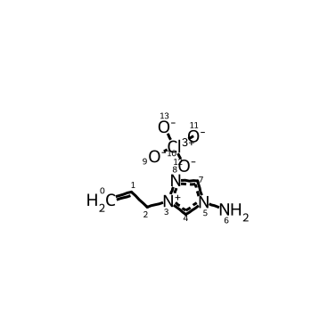 C=CC[n+]1cn(N)cn1.[O-][Cl+3]([O-])([O-])[O-]